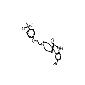 CS(=O)(=O)c1ccc(OCCN2CCC3(CC2)C(=O)Nc2ccc(Br)cc23)cc1